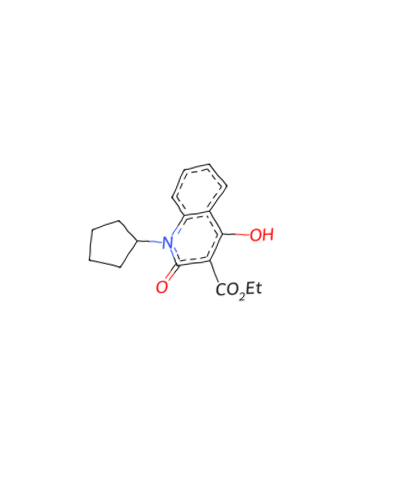 CCOC(=O)c1c(O)c2ccccc2n(C2CCCC2)c1=O